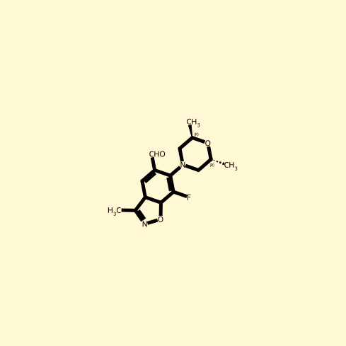 CC1=NOC2C(F)=C(N3C[C@@H](C)O[C@H](C)C3)C(C=O)=CC12